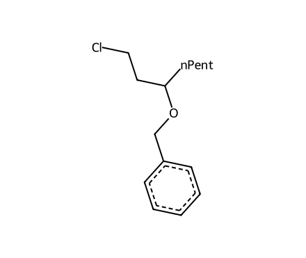 CCCCCC(CCCl)OCc1ccccc1